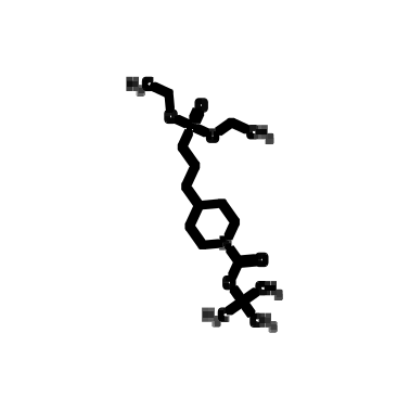 CCOP(=O)(CCCC1CCN(C(=O)OC(C)(C)C)CC1)OCC